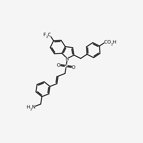 NCc1cccc(C=CCS(=O)(=O)n2c(Cc3ccc(C(=O)O)cc3)cc3cc(C(F)(F)F)ccc32)c1